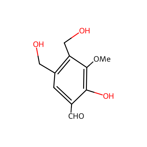 COc1c(O)c(C=O)cc(CO)c1CO